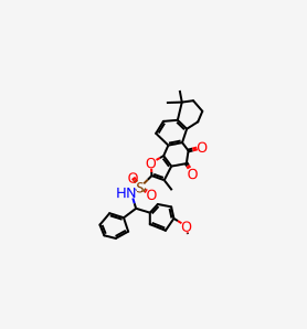 COc1ccc(C(NS(=O)(=O)c2oc3c(c2C)C(=O)C(=O)c2c-3ccc3c2CCCC3(C)C)c2ccccc2)cc1